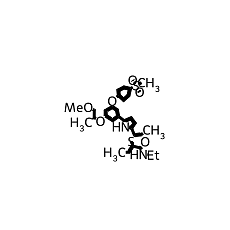 C/C=C(\S/C(=C/C)c1ccc(-c2cc(Oc3ccc(S(C)(=O)=O)cc3)cc(O[C@@H](C)COC)c2)[nH]1)C(=O)NCC